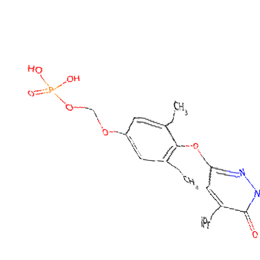 Cc1cc(OCOP(=O)(O)O)cc(C)c1Oc1cc(C(C)C)c(=O)[nH]n1